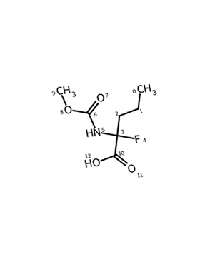 CCCC(F)(NC(=O)OC)C(=O)O